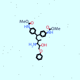 COC(=O)Nc1ccc(C(CC(C)C(N)[C@@H](O)COc2ccccc2)c2ccc(NC(=O)OC)cc2)cc1